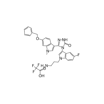 Cn1cc(-c2n[nH]c(=O)n2-c2cn(CCCN)c3ccc(F)cc23)c2ccc(OCc3ccccc3)cc21.O=C(O)C(F)(F)F